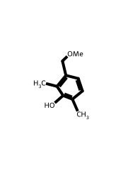 COCc1ccc(C)c(O)c1C